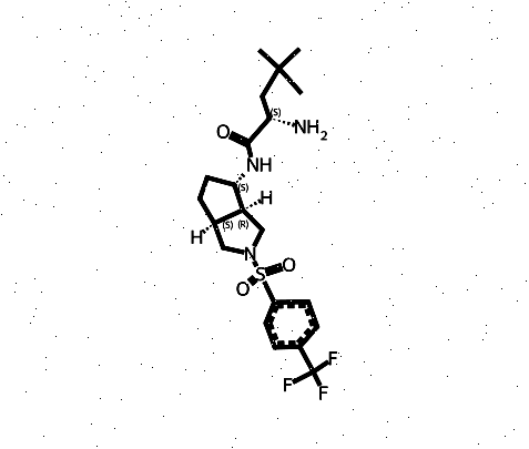 CC(C)(C)C[C@H](N)C(=O)N[C@H]1CC[C@@H]2CN(S(=O)(=O)c3ccc(C(F)(F)F)cc3)C[C@@H]21